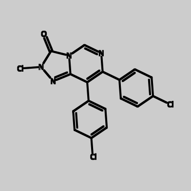 O=c1n(Cl)nc2c(-c3ccc(Cl)cc3)c(-c3ccc(Cl)cc3)ncn12